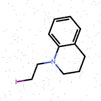 ICCN1CCCc2ccccc21